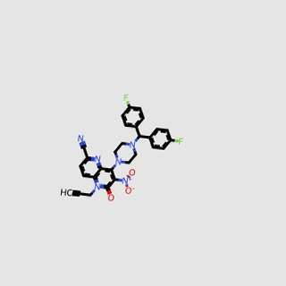 C#CCn1c(=O)c([N+](=O)[O-])c(N2CCN(C(c3ccc(F)cc3)c3ccc(F)cc3)CC2)c2nc(C#N)ccc21